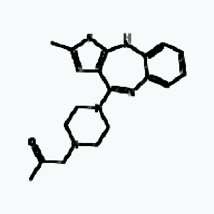 CC(=O)CN1CCN(C2=Nc3ccccc3Nc3sc(C)cc32)CC1